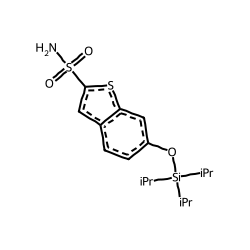 CC(C)[Si](Oc1ccc2cc(S(N)(=O)=O)sc2c1)(C(C)C)C(C)C